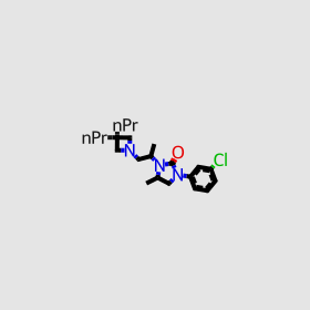 CCCC1(CCC)CN(CC(C)N2C(=O)N(c3cccc(Cl)c3)CC2C)C1